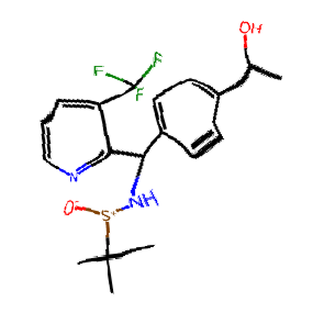 CC(O)c1ccc(C(N[S+]([O-])C(C)(C)C)c2ncccc2C(F)(F)F)cc1